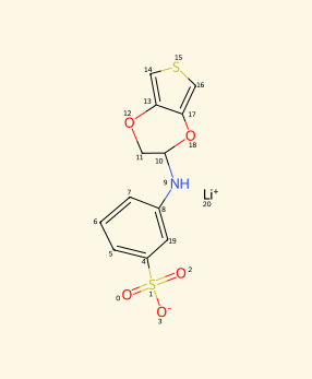 O=S(=O)([O-])c1cccc(NC2COc3cscc3O2)c1.[Li+]